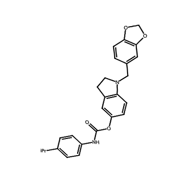 CC(C)c1ccc(NC(=O)Oc2ccc3c(c2)CCN3Cc2ccc3c(c2)OCO3)cc1